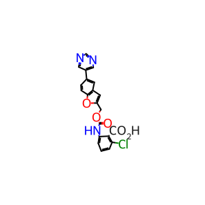 O=C(Nc1cccc(Cl)c1C(=O)O)OCc1cc2cc(-c3cncnc3)ccc2o1